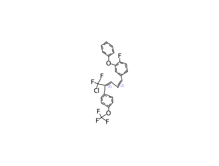 Fc1ccc(/C=C\C=C(/c2ccc(OC(F)(F)F)cc2)C(F)(F)Cl)cc1Oc1ccccc1